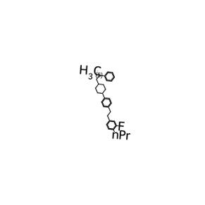 CCCc1ccc(CCc2ccc(C3CCC(C[C@H](C)c4ccccc4)CC3)cc2)cc1F